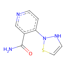 NC(=O)c1cnccc1N1NC=CS1